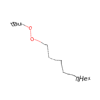 CCCCCCCCCCOOC(C)(C)C